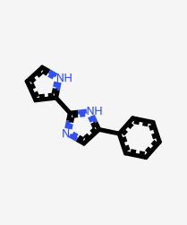 c1ccc(-c2cnc(-c3ccc[nH]3)[nH]2)cc1